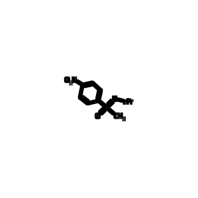 CCCN=S(C)(=O)c1ccc([N+](=O)[O-])cc1